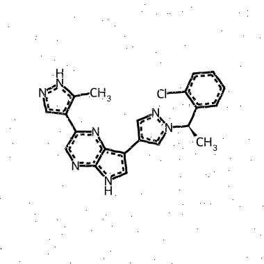 Cc1[nH]ncc1-c1cnc2[nH]cc(-c3cnn([C@H](C)c4ccccc4Cl)c3)c2n1